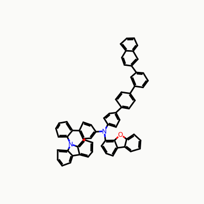 c1cc(-c2ccc(-c3ccc(N(c4ccc(-c5ccccc5-n5c6ccccc6c6ccccc65)cc4)c4cccc5c4oc4ccccc45)cc3)cc2)cc(-c2ccc3ccccc3c2)c1